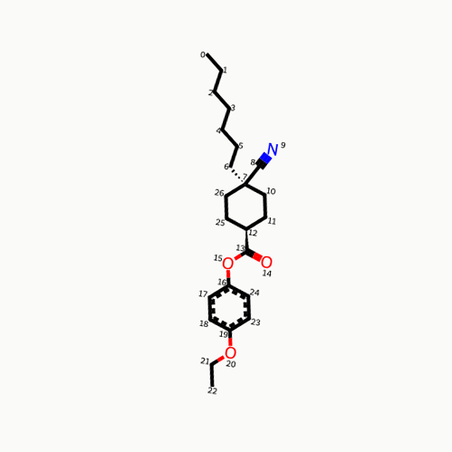 CCCCCCC[C@]1(C#N)CC[C@@H](C(=O)Oc2ccc(OCC)cc2)CC1